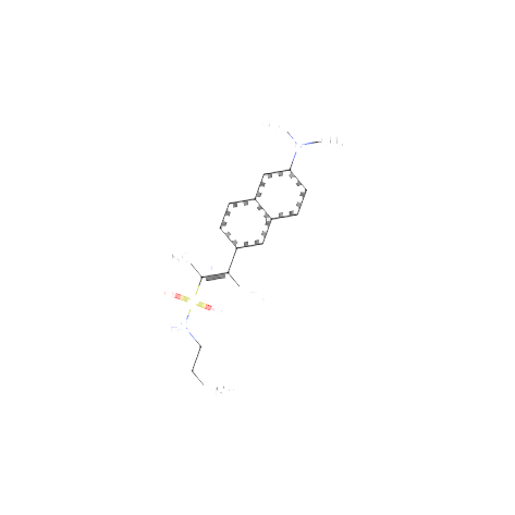 COCCNS(=O)(=O)/C(C#N)=C(\C)c1ccc2cc(N(C)C)ccc2c1